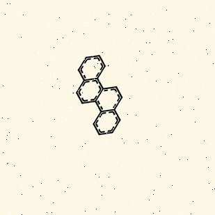 [c]1cc2c3ccccc3ccc2c2[c]cccc12